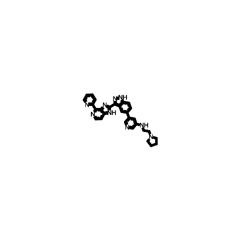 c1ccc(-c2nccc3[nH]c(-c4n[nH]c5ccc(-c6cncc(NCCN7CCCC7)c6)cc45)nc23)nc1